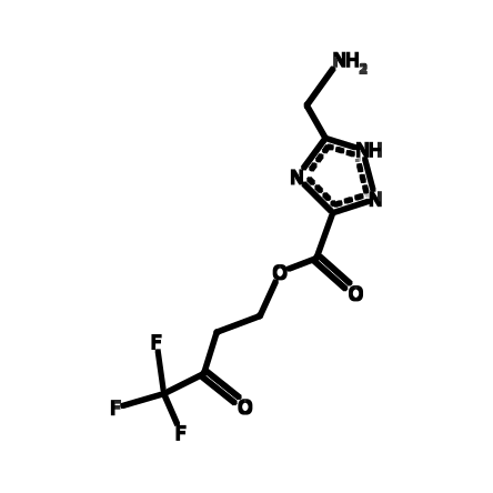 NCc1nc(C(=O)OCCC(=O)C(F)(F)F)n[nH]1